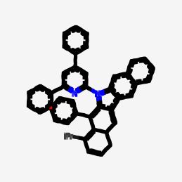 CC(C)C1=C2C(c3ccccc3)=c3c(c4cc5ccccc5cc4n3-c3cc(-c4ccccc4)cc(-c4ccccc4)n3)=CC2CC=C1